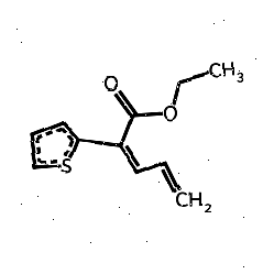 C=CC=C(C(=O)OCC)c1cccs1